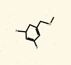 COCC1=CC(F)=CC(F)C1